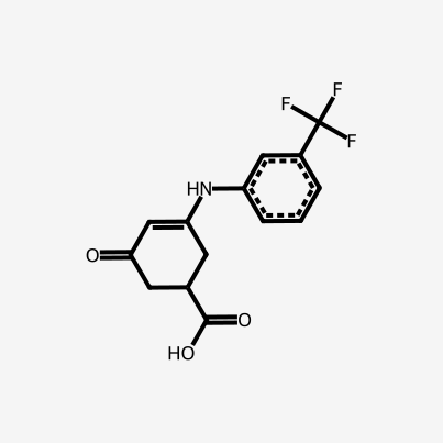 O=C1C=C(Nc2cccc(C(F)(F)F)c2)CC(C(=O)O)C1